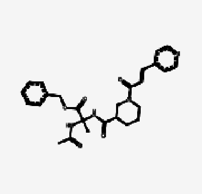 CC(=O)N[C@@](C)(NC(=O)[C@@H]1CCCN(C(=O)C=Cc2ccncc2)C1)C(=O)OCc1ccccc1